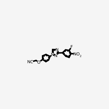 N#CCOc1ccc(-n2cnc(-c3ccc([N+](=O)[O-])c(F)c3)n2)cc1